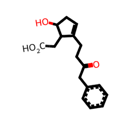 O=C(O)CC1C(CCC(=O)Cc2ccccc2)=CCC1O